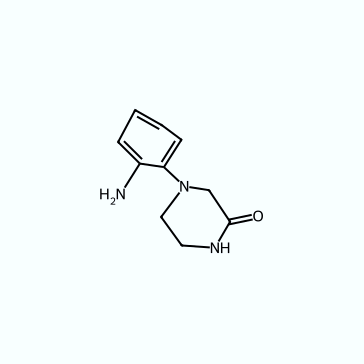 Nc1ccccc1N1CCNC(=O)C1